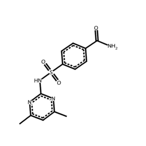 Cc1cc(C)nc(NS(=O)(=O)c2ccc(C(N)=O)cc2)n1